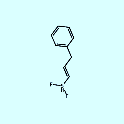 F[SiH](F)C=CCc1ccccc1